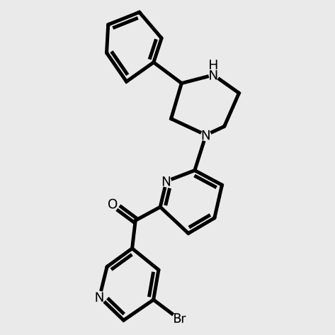 O=C(c1cncc(Br)c1)c1cccc(N2CCNC(c3ccccc3)C2)n1